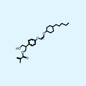 C=C(C)C(=O)OCC(CO)c1ccc(O/C=C\OC2CCC(CCCCC)CC2)cc1